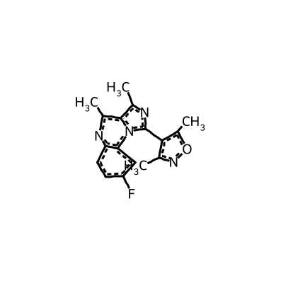 Cc1noc(C)c1-c1nc(C)c2c(C)nc3ccc(F)cc3n12